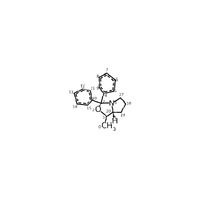 CC1OC(c2ccccc2)(c2ccccc2)N2CCC[C@H]12